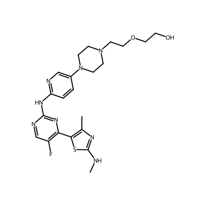 CNc1nc(C)c(-c2nc(Nc3ccc(N4CCN(CCOCCO)CC4)cn3)ncc2F)s1